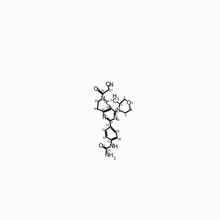 C[C@H]1COCCN1c1nc(-c2ccc(NC(N)=O)cc2)nc2c1CN(C(=O)CC#N)CC2